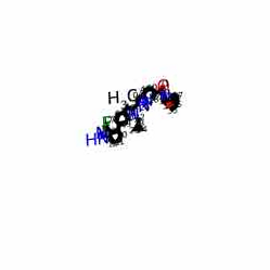 Cc1c(-c2cc3ccc(-c4cccc5[nH]nc(F)c45)cc3n2CC2CC2)nn2cc(C(=O)N3CC4CC5CC3[C@H]54)ccc12